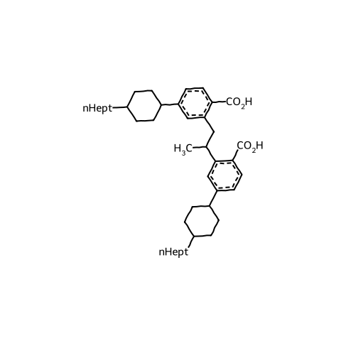 CCCCCCCC1CCC(c2ccc(C(=O)O)c(CC(C)c3cc(C4CCC(CCCCCCC)CC4)ccc3C(=O)O)c2)CC1